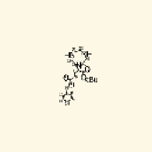 CC(C)(C)OC(=O)[C@@H](CCC(=O)OCc1ccccc1)N1CCNCCNCC1